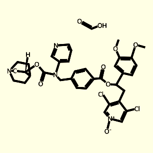 COc1ccc(C(Cc2c(Cl)c[n+]([O-])cc2Cl)OC(=O)c2ccc(CN(C(=O)O[C@H]3CN4CCC3CC4)c3cccnc3)cc2)cc1OC.O=CO